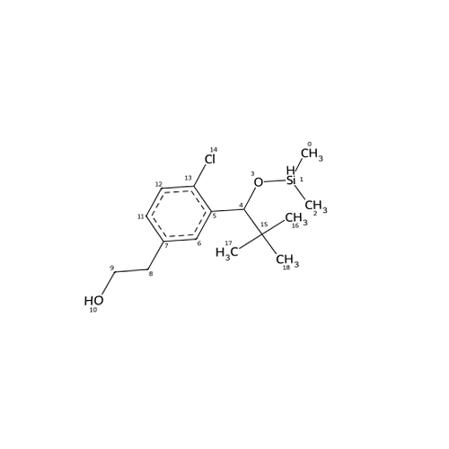 C[SiH](C)OC(c1cc(CCO)ccc1Cl)C(C)(C)C